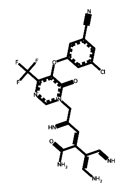 N#Cc1cc(Cl)cc(Oc2c(C(F)(F)F)ncn(CC(=N)/C=C(C(N)=O)/C(C=N)=C/N)c2=O)c1